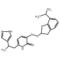 CC(C)c1cccc2c1OC(SSc1ccc(CC(C)c3cn[nH]c3)[nH]c1=O)C2